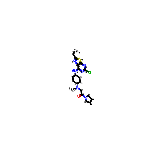 CCc1nc2c(N[C@H]3CC[C@H](N(C)CC(=O)N4CCCC4)CC3)nc(Cl)nc2s1